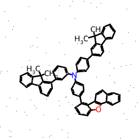 CC1(C)c2ccccc2-c2ccc(-c3ccc(N(c4ccc(-c5cccc6oc7c8ccccc8ccc7c56)cc4)c4cccc(-c5cccc6c5C(C)(C)c5ccccc5-6)c4)cc3)cc21